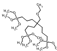 CCOCC(CCC[Si](OC)(OC)OC)(CCC[Si](OC)(OC)OC)CCC[Si](OC)(OC)OC